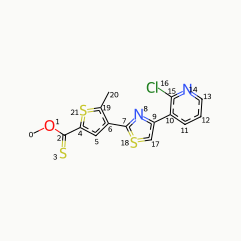 COC(=S)c1cc(-c2nc(-c3cccnc3Cl)cs2)c(C)s1